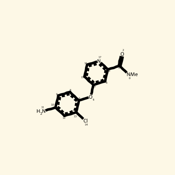 CNC(=O)c1cc(Oc2ccc(N)cc2Cl)ccn1